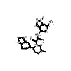 CC1CCC(c2ccc3scnc3c2)N(C(=O)C(=O)Nc2cnc(N)c3c2cnn3C)C1